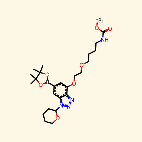 CC(C)(C)OC(=O)NCCCCOCCOc1cc(B2OC(C)(C)C(C)(C)O2)cc2c1nnn2C1CCCCO1